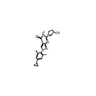 Cc1cc(C2CC2)cc(C)c1-n1cc2c(=O)[nH]c(N3CCC(C#N)C3)nc2n1